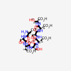 N[C@@H](CC(=O)O)C(=O)N[C@@H](CO)C(=O)N[C@@H](CC(=O)O)C(=O)N[C@@H](CO)C(=O)N[C@@H](CC(=O)O)C(=O)N[C@@H](CO)C(=O)N[C@@H](CC(=O)O)C(=O)N[C@@H](CO)C(=O)O